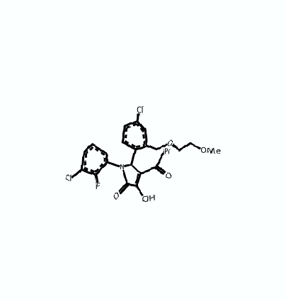 COCCOCc1cc(Cl)ccc1C1C(C(=O)C(C)C)=C(O)C(=O)N1c1cccc(Cl)c1F